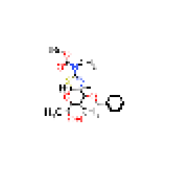 CC(O)[C@H]1O[C@@H]2SC(N(C)C(=O)OC(C)(C)C)=N[C@@H]2[C@@H](OCc2ccccc2)[C@@H]1C